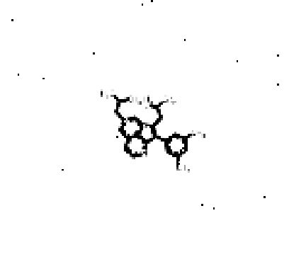 Cc1cc(C)cc(C2=C(CC(C)C)c3cc(CC(C)C)cc4ccnc2c34)c1